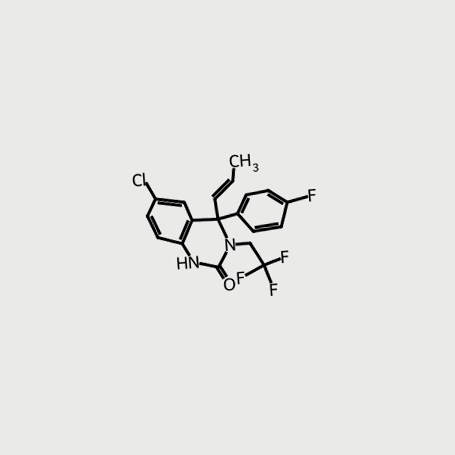 CC=CC1(c2ccc(F)cc2)c2cc(Cl)ccc2NC(=O)N1CC(F)(F)F